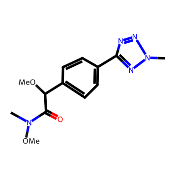 COC(C(=O)N(C)OC)c1ccc(-c2nnn(C)n2)cc1